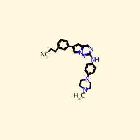 CN1CCN(c2ccc(Nc3ncc4cc(-c5cccc(CCC#N)c5)cn4n3)cc2)CC1